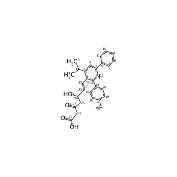 CC(C)c1cc(-c2ccccc2)nc(-c2ccc(F)cc2)c1/C=C/C(O)CC(=O)CC(=O)O